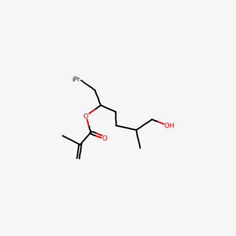 C=C(C)C(=O)OC(CCC(C)CO)CC(C)C